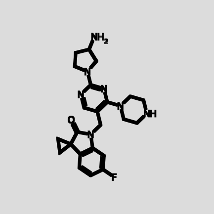 NC1CCN(c2ncc(CN3C(=O)C4(CC4)c4ccc(F)cc43)c(N3CCNCC3)n2)C1